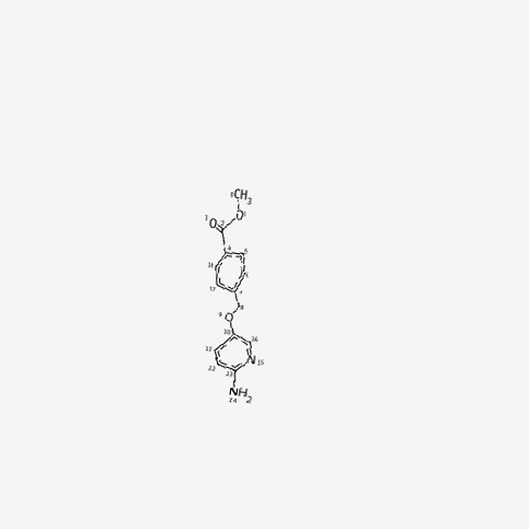 COC(=O)c1ccc(COc2ccc(N)nc2)cc1